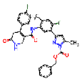 Cc1cc(F)c(-c2cc(C)n(C(=O)OCc3ccccc3)n2)cc1NC(=O)C1=C(c2ccc(F)cc2)CC(=O)NC1